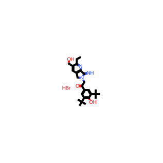 Br.CCc1nc2c(cc1CO)CN(CC(=O)c1cc(C(C)(C)C)c(O)c(C(C)(C)C)c1)C2=N